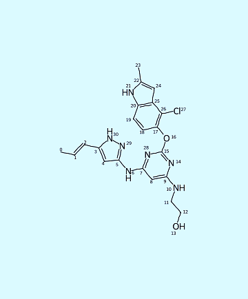 C/C=C/c1cc(Nc2cc(NCCO)nc(Oc3ccc4[nH]c(C)cc4c3Cl)n2)n[nH]1